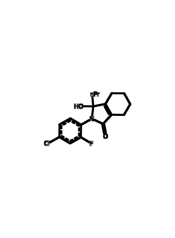 CCCC1(O)C2=C(CCCC2)C(=O)N1c1ccc(Cl)cc1F